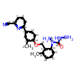 Cc1cc(-c2cccc(C#N)n2)ccc1OCc1c(C)cccc1N(N)C(=O)NN